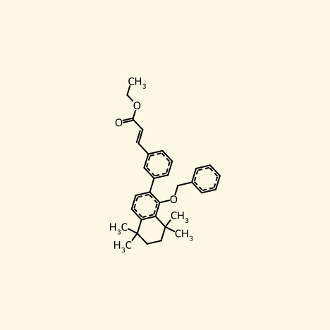 CCOC(=O)/C=C/c1cccc(-c2ccc3c(c2OCc2ccccc2)C(C)(C)CCC3(C)C)c1